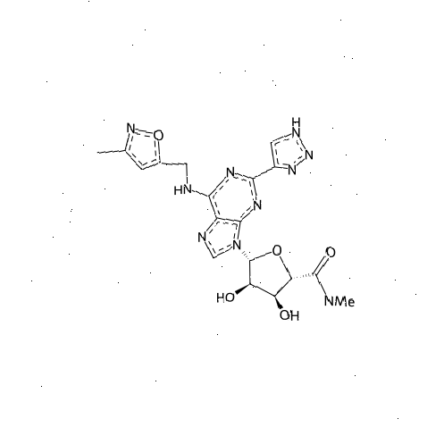 CNC(=O)[C@H]1O[C@@H](n2cnc3c(NCc4cc(C)no4)nc(-c4c[nH]nn4)nc32)[C@H](O)[C@@H]1O